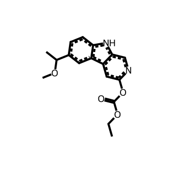 CCOC(=O)Oc1cc2c(cn1)[nH]c1ccc(C(C)OC)cc12